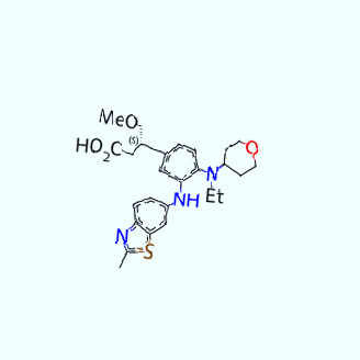 CCN(c1ccc([C@@H](COC)CC(=O)O)cc1Nc1ccc2nc(C)sc2c1)C1CCOCC1